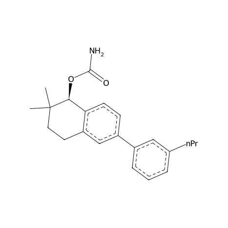 CCCc1cccc(-c2ccc3c(c2)CCC(C)(C)[C@H]3OC(N)=O)c1